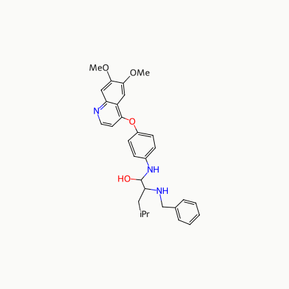 COc1cc2nccc(Oc3ccc(NC(O)C(CC(C)C)NCc4ccccc4)cc3)c2cc1OC